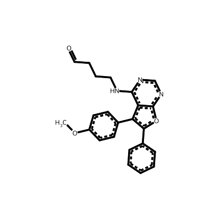 COc1ccc(-c2c(-c3ccccc3)oc3ncnc(NCCCC=O)c23)cc1